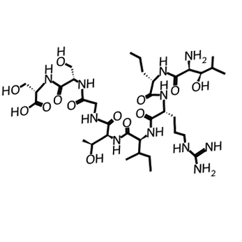 CCC[C@H](NC(=O)[C@@H](N)[C@H](O)C(C)C)C(=O)N[C@H](CCCNC(=N)N)C(=O)N[C@H](C(=O)N[C@H](C(=O)NCC(=O)N[C@@H](CO)C(=O)N[C@@H](CO)C(=O)O)[C@H](C)O)C(C)CC